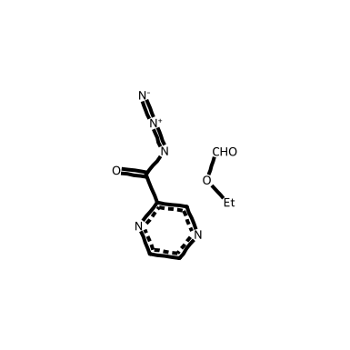 CCOC=O.[N-]=[N+]=NC(=O)c1cnccn1